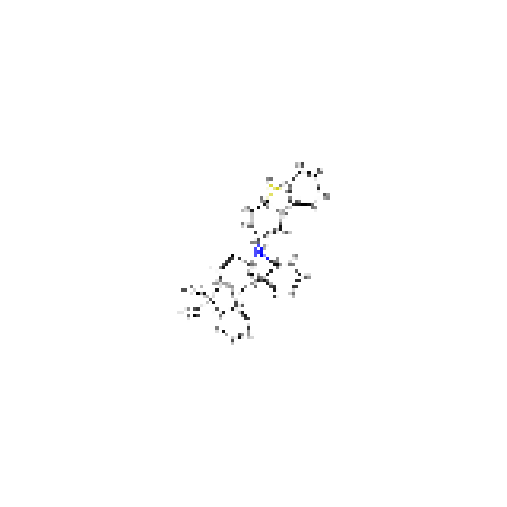 CC1(C)c2ccccc2-c2c1ccc1c2c2ccccc2n1-c1ccc2sc3c(c2c1)CCC=C3